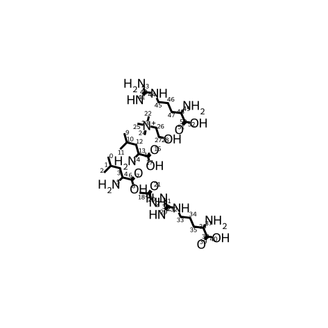 CC(C)CC(N)C(=O)O.CC(C)CC(N)C(=O)O.CC(N)=O.C[N+](C)(C)CCO.N=C(N)NCCCC(N)C(=O)O.N=C(N)NCCCC(N)C(=O)O